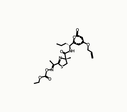 C=CCOc1cc([C@@H](CCC)NC(=O)[C@]2(C)CSC(/C(C)=N/OC(=O)OCC)=N2)oc(=O)c1